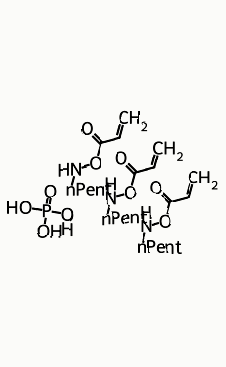 C=CC(=O)ONCCCCC.C=CC(=O)ONCCCCC.C=CC(=O)ONCCCCC.O=P(O)(O)O